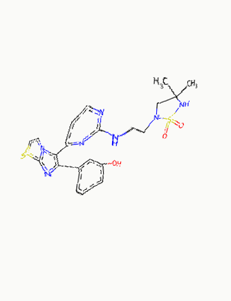 CC1(C)CN(CCNc2nccc(-c3c(-c4cccc(O)c4)nc4sccn34)n2)S(=O)(=O)N1